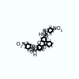 O=COC1(c2ccccc2)c2ccc(NS(=O)(=O)c3ccc([N+](=O)[O-])cc3)cc2Oc2cc(NS(=O)(=O)c3ccc([N+](=O)[O-])cc3)ccc21